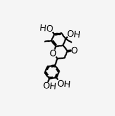 CC1=C2OC(c3ccc(O)c(O)c3)CC(=O)C2C(C)(O)C=C1O